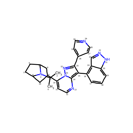 CC(C)N1C2CCC1CC(c1ccnc3c(-c4cccc5[nH]ncc45)c(-c4ccncc4)nn13)C2